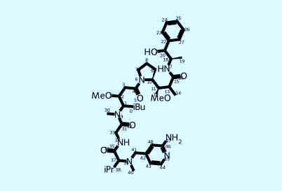 CCC(C)C(C(CC(=O)N1CCC[C@H]1[C@H](OC)C(C)C(=O)N[C@H](C)C(O)c1ccccc1)OC)N(C)C(=O)CNC(=O)C(C(C)C)N(C)Cc1ccnc(N)c1